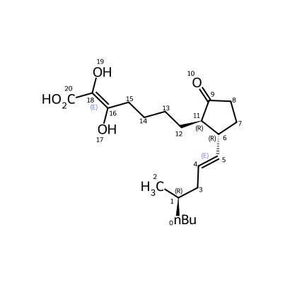 CCCC[C@@H](C)C/C=C/[C@H]1CCC(=O)[C@@H]1CCCC/C(O)=C(\O)C(=O)O